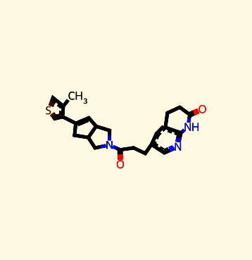 Cc1cscc1C1=CC2CN(C(=O)CCc3cnc4c(c3)CCC(=O)N4)CC2C1